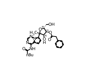 CCCCC(=O)Nc1ncnn2c([C@]3(C)O[C@H](CO)[C@@H](OC(=O)Cc4ccccc4)[C@H]3O)ccc12